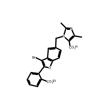 CCOC(=O)c1ccccc1-c1oc2ccc(Cn3c(C)nc(C)c3C(=O)O)cc2c1Br